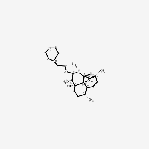 C[C@@H]1CC[C@H]2[C@@H](C)[C@@](C)(OCCN3CCNCC3)O[C@@H]3O[C@]4(C)CCC1[C@]32OO4